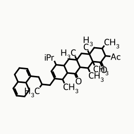 CC(=O)C1C(=O)C2(C)C(C)C3C(=O)C4C(C)C(CC(C)CC5=CCCC6C=CCCC56)=CC(C(C)C)C4CC3(C)CC2(C)CC1C